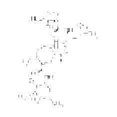 COC(=O)[C@H](CC(C)C)NC(=O)N1C[C@H](O)[C@@H](NC(=O)[C@H](CC(C)C)NC(=O)OC(C)(C)C)CC[C@H]1C